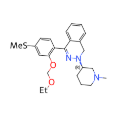 CCOCOc1cc(SC)ccc1C1=NN([C@@H]2CCCN(C)C2)Cc2ccccc21